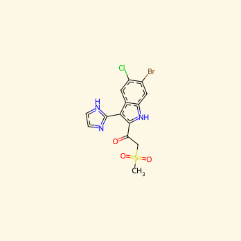 CS(=O)(=O)CC(=O)c1[nH]c2cc(Br)c(Cl)cc2c1-c1ncc[nH]1